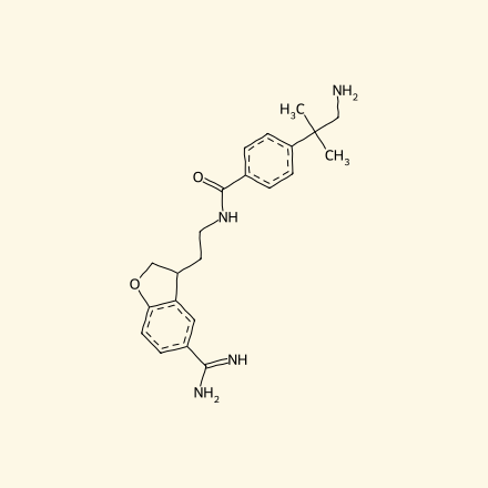 CC(C)(CN)c1ccc(C(=O)NCCC2COc3ccc(C(=N)N)cc32)cc1